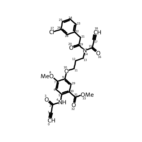 C#CC(=O)Nc1cc(OC)c(OCCCN(C(=O)C#C)C(=O)Cc2cccc(Cl)c2)cc1C(=O)OC